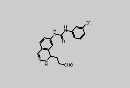 O=CCCC1NN=Cc2ccc(NC(=O)Nc3cccc(C(F)(F)F)c3)cc21